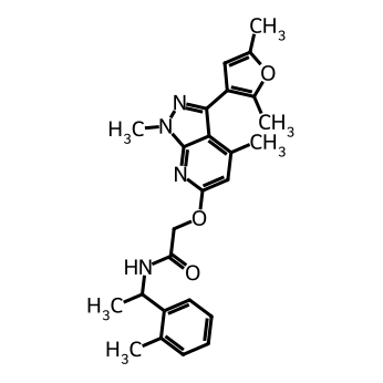 Cc1cc(-c2nn(C)c3nc(OCC(=O)NC(C)c4ccccc4C)cc(C)c23)c(C)o1